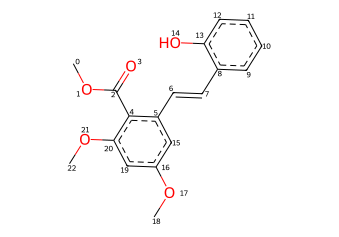 COC(=O)c1c(C=Cc2ccccc2O)cc(OC)cc1OC